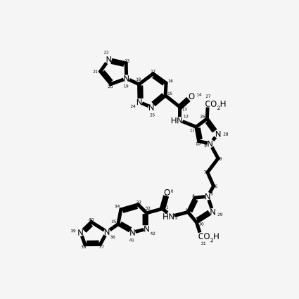 O=C(Nc1cn(CCCn2cc(NC(=O)c3ccc(-n4ccnc4)nn3)c(C(=O)O)n2)nc1C(=O)O)c1ccc(-n2ccnc2)nn1